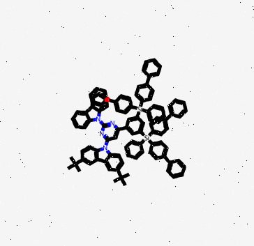 CC(C)(C)c1ccc2c(c1)c1cc(C(C)(C)C)ccc1n2-c1cc(-c2cc([Si](c3ccccc3)(c3ccc(-c4ccccc4)cc3)c3ccc(-c4ccccc4)cc3)cc([Si](c3ccccc3)(c3ccc(-c4ccccc4)cc3)c3ccc(-c4ccccc4)cc3)c2)nc(-n2c3ccccc3c3ccccc32)n1